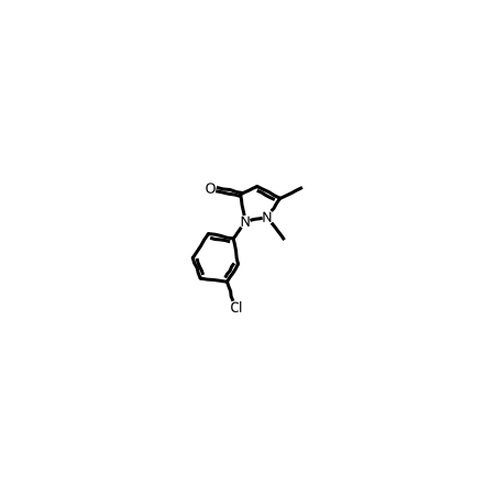 Cc1cc(=O)n(-c2cccc(Cl)c2)n1C